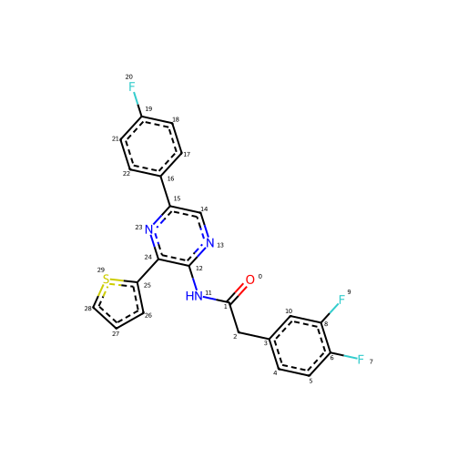 O=C(Cc1ccc(F)c(F)c1)Nc1ncc(-c2ccc(F)cc2)nc1-c1cccs1